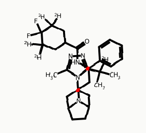 [2H]C(C)(C)c1nnc(C)n1C1CC2CCC(C1)N2CCC(NC(=O)C1CC([2H])([2H])C(F)(F)C([2H])([2H])C1)c1ccccc1